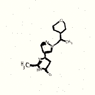 Cc1nc(-c2cnn(C(C)C3CCOCC3)c2)cc(=O)[nH]1